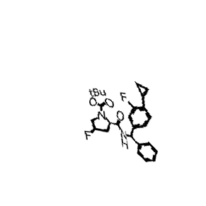 CC(C)(C)OC(=O)N1CC(F)C[C@@H]1C(=O)NC(c1ccccc1)c1ccc(C2CC2)c(F)c1